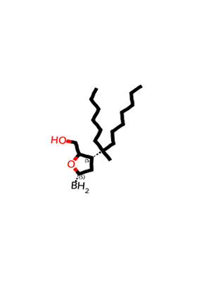 B[C@H]1C[C@@H](C(C)(CCCCCC)CCCCCCC)C(CO)O1